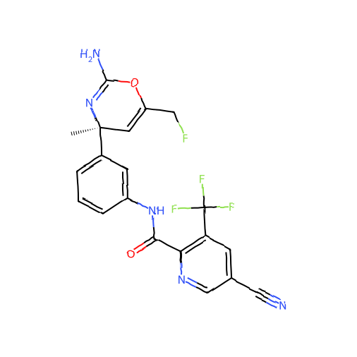 C[C@@]1(c2cccc(NC(=O)c3ncc(C#N)cc3C(F)(F)F)c2)C=C(CF)OC(N)=N1